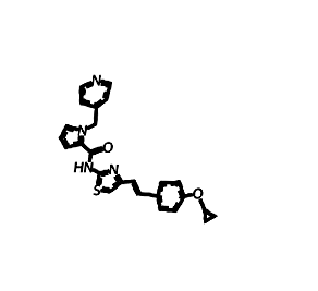 O=C(Nc1nc(C=Cc2ccc(OC3CC3)cc2)cs1)c1cccn1Cc1ccncc1